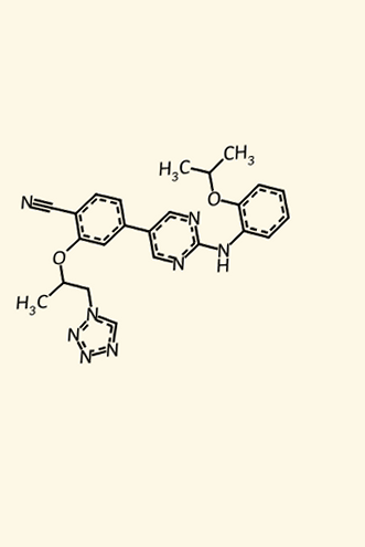 CC(C)Oc1ccccc1Nc1ncc(-c2ccc(C#N)c(OC(C)Cn3cnnn3)c2)cn1